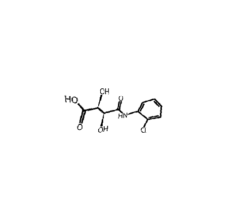 O=C(O)[C@@H](O)[C@H](O)C(=O)Nc1ccccc1Cl